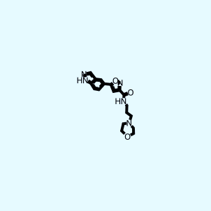 O=C(NCCCN1CCOCC1)c1cc(-c2ccc3[nH]ncc3c2)on1